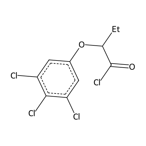 CCC(Oc1cc(Cl)c(Cl)c(Cl)c1)C(=O)Cl